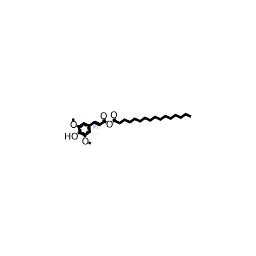 CCCCCCCCCCCCCCCC(=O)OC(=O)/C=C/c1cc(OC)c(O)c(OC)c1